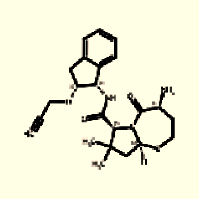 C#CCO[C@@H]1Cc2ccccc2[C@@H]1NC(=O)[C@H]1N2C(=O)[C@@H](N)CCS[C@H]2CC1(C)C